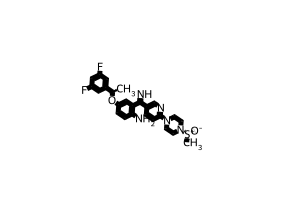 C[C@@H](Oc1ccc(N)c(C(=N)c2ccc(N3CCN([S+](C)[O-])CC3)nc2)c1)c1cc(F)cc(F)c1